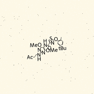 COc1nc(NCCC(C)=O)nc(OC)c1NC(=O)c1csc(Oc2cc(C(C)(C)C)ccc2C)n1